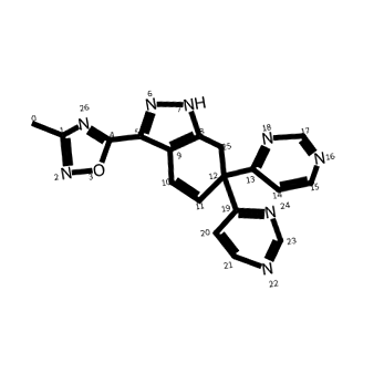 Cc1noc(-c2n[nH]c3c2C=CC(c2ccncn2)(c2ccncn2)C3)n1